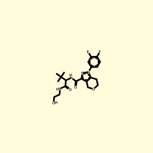 CC(C)(C)C(NC(=O)c1nn(-c2ccc(F)c(F)c2)c2c1COCC2)C(=O)NCCO